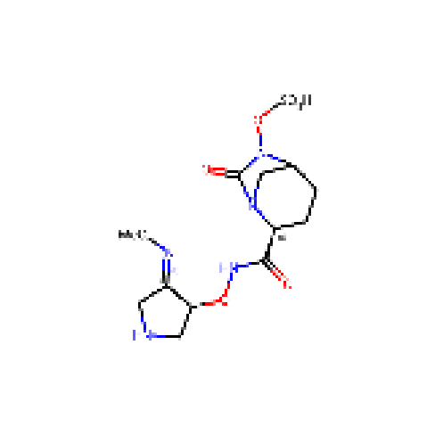 CO/N=C1\CNCC1ONC(=O)[C@@H]1CCC2CN1C(=O)N2OS(=O)(=O)O